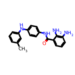 Cc1cccc(Nc2ccc(NC(=O)c3cccc(N)c3N)cc2)c1